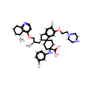 C[C@@H](COc1ccnc2c1[C@H](C)CCC2)C[C@H]1Cc2cc(Cl)c(OCCN3CCNCC3)cc2C12CCC(Nc1cccc(Cl)c1)(C(=O)O)CC2